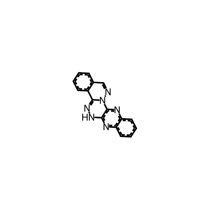 C1=NN2C(=NNc3nc4ccccc4nc32)c2ccccc21